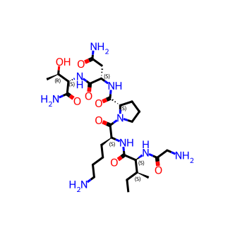 CC[C@H](C)[C@H](NC(=O)CN)C(=O)N[C@@H](CCCCN)C(=O)N1CCC[C@H]1C(=O)N[C@@H](CC(N)=O)C(=O)N[C@H](C(N)=O)[C@@H](C)O